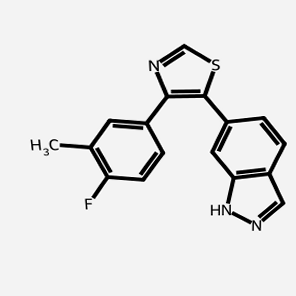 Cc1cc(-c2ncsc2-c2ccc3cn[nH]c3c2)ccc1F